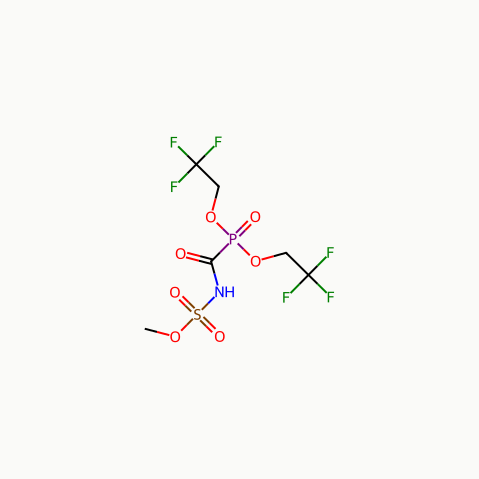 COS(=O)(=O)NC(=O)P(=O)(OCC(F)(F)F)OCC(F)(F)F